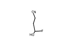 N#CCCC(O)F